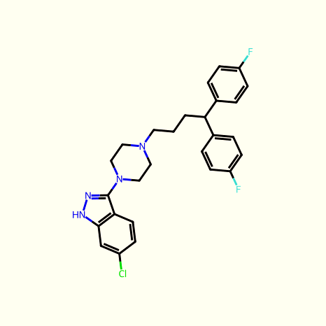 Fc1ccc(C(CCCN2CCN(c3n[nH]c4cc(Cl)ccc34)CC2)c2ccc(F)cc2)cc1